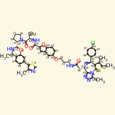 Cc1ncsc1-c1ccc([C@H](C)NC(=O)[C@@H]2CCCN2C(=O)C(NC(=O)c2cc3cc(OCCCNC(=O)C[C@@H]4N=C(c5ccc(Cl)cc5)c5c(sc(C)c5C)-n5c(C)nnc54)ccc3o2)C(C)(C)C)cc1